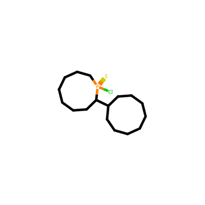 S=P1(Cl)CCCCCCCC1C1CCCCCCCC1